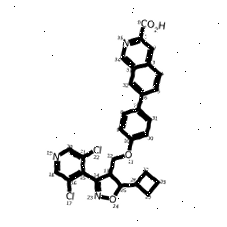 O=C(O)c1cc2ccc(-c3ccc(OCC4C(c5c(Cl)cncc5Cl)=NOC4C4CCC4)cc3)cc2cn1